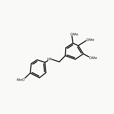 COc1ccc(NCc2cc(OC)c(OC)c(OC)c2)cc1